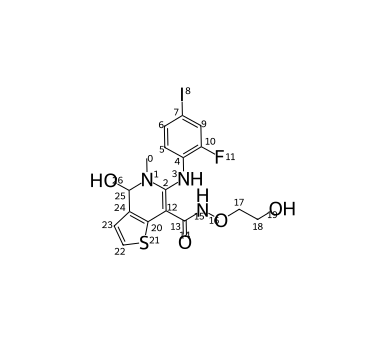 CN1C(Nc2ccc(I)cc2F)=C(C(=O)NOCCO)c2sccc2C1O